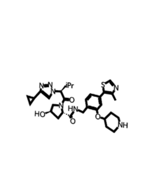 Cc1ncsc1-c1ccc(CNC(=O)[C@@H]2C[C@@H](O)CN2C(=O)[C@H](C(C)C)n2cc(C3CC3)nn2)c(OC2CCNCC2)c1